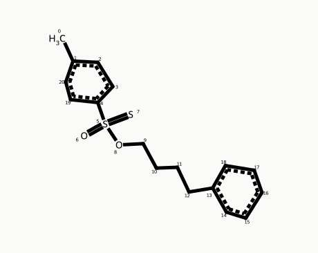 Cc1ccc(S(=O)(=S)OCCCCc2ccccc2)cc1